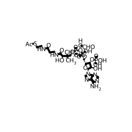 CC(=O)SCCNC(=O)CCNC(=O)[C@H](O)C(C)(C)COP(=O)(O)OP(=O)(O)OC[C@H]1O[C@@H](n2cnc3c(N)ncnc32)[C@H](O)[C@@H]1OP(=O)(O)O.O=CO